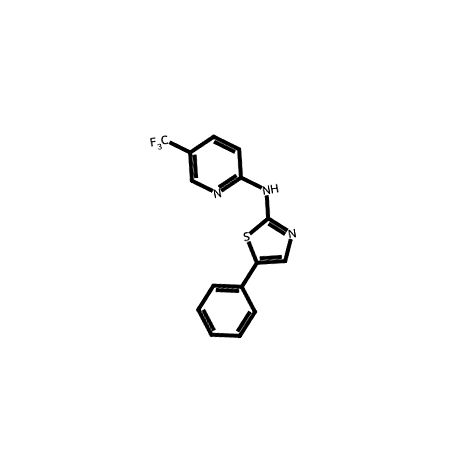 FC(F)(F)c1ccc(Nc2ncc(-c3ccccc3)s2)nc1